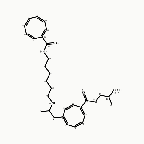 CC(CC1=C/C=C\C=C(C(=O)NCC(C)C(=O)O)/C=C\1)NCCCCCCNC(=O)C1=C/C=C\C=C/C=C\1